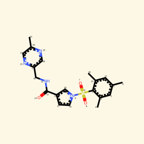 Cc1cc(C)c(S(=O)(=O)n2ccc(C(=O)NCc3cnc(C)cn3)c2)c(C)c1